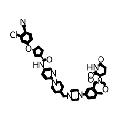 N#Cc1ccc(O[C@@H]2CC[C@@H](C(=O)Nc3ccc(N4CCC(CN5CCN(c6ccc7c(c6)C(=O)N(C6CCC(=O)NC6=O)COC7)CC5)CC4)nc3)C2)cc1Cl